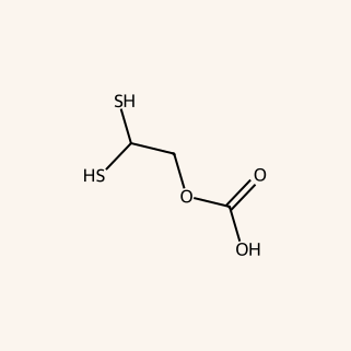 O=C(O)OCC(S)S